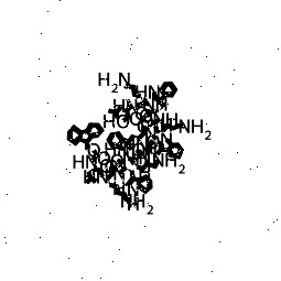 CC(C)C[C@H](NC(=O)[C@H](CCCCN)NC(=O)[C@H](Cc1c[nH]c2ccccc12)NC(=O)[C@H](CCCCN)NC(=O)[C@H](Cc1c[nH]c2ccccc12)NC(=O)[C@H](Cc1c[nH]c2ccccc12)NC(=O)[C@H](CCCCN)NC(=O)[C@H](Cc1c[nH]c2ccccc12)NC(=O)[C@H](CCCCN)NC(=O)[C@H](CC(C)C)NC(=O)OCC1c2ccccc2-c2ccccc21)C(=O)O